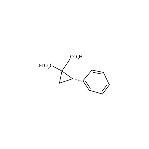 CCOC(=O)C1(C(=O)O)C[C@H]1c1ccccc1